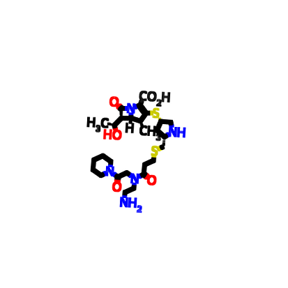 C[C@@H](O)[C@H]1C(=O)N2C(C(=O)O)=C(S[C@@H]3CN[C@H](CSCCC(=O)N(CCN)CC(=O)N4CCCCC4)C3)[C@H](C)[C@H]12